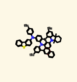 CC(C)(C)c1ccc(N(c2ccc3c(c2)N(c2ccc(C(C)(C)C)cc2-c2ccccc2)c2cc(-c4ccccc4)cc4c2B3c2cc(C(C)(C)C)cc3c2N4C2(C)CCCCC32C)c2ccc3sc4ccccc4c3c2)cc1